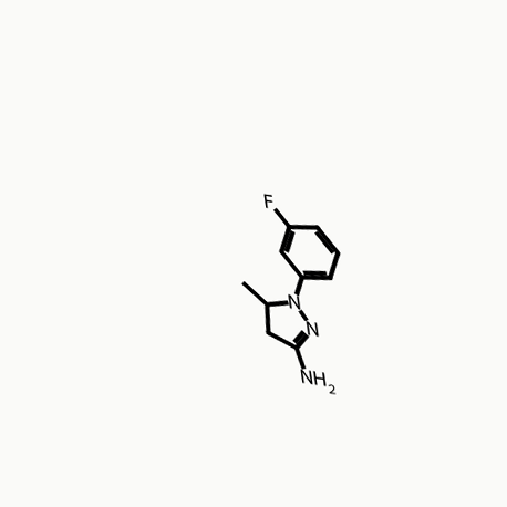 CC1CC(N)=NN1c1cccc(F)c1